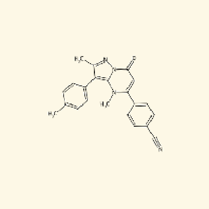 Cc1ccc(-c2c(C)nn3c(=O)cc(-c4ccc(C#N)cc4)n(C)c23)cc1